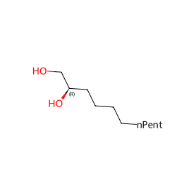 CCCCCCCCC[C@@H](O)CO